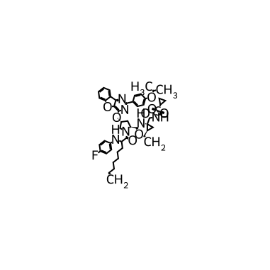 C=CCCCCCC(Nc1ccc(F)cc1)C(=O)N1C[C@H](Oc2nc(-c3ccc(OC(C)C)cc3)nc3c2oc2ccccc23)C[C@H]1C(=O)N[C@]1(C(=O)NS(=O)(=O)C2CC2)C[C@H]1C=C